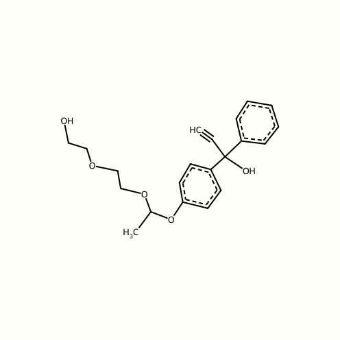 C#CC(O)(c1ccccc1)c1ccc(OC(C)OCCOCCO)cc1